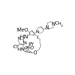 COc1cc(N2CCC(N3CCN(C)CC3)CC2)c2cc1Nc1ncc(Cl)c(n1)Nc1ccc(cc1S(=O)(=O)C(C)C)OCCCCC2